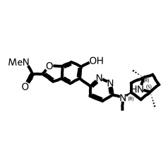 CNC(=O)c1cc2cc(-c3ccc(N(C)[C@@H]4C[C@]5(C)CC[C@](C)(C4)N5)nn3)c(O)cc2o1